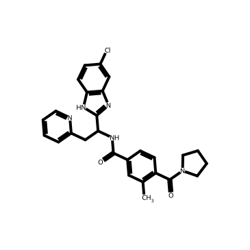 Cc1cc(C(=O)NC(Cc2ccccn2)c2nc3cc(Cl)ccc3[nH]2)ccc1C(=O)N1CCCC1